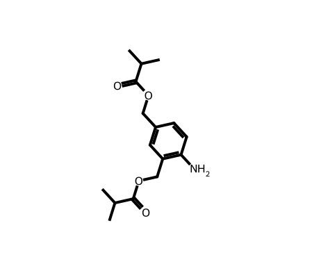 CC(C)C(=O)OCc1ccc(N)c(COC(=O)C(C)C)c1